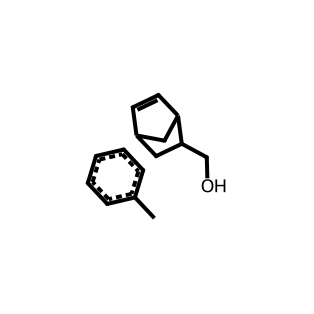 Cc1ccccc1.OCC1CC2C=CC1C2